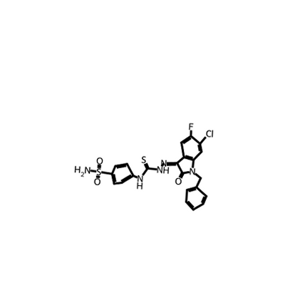 NS(=O)(=O)c1ccc(NC(=S)NN=C2C(=O)N(Cc3ccccc3)c3cc(Cl)c(F)cc32)cc1